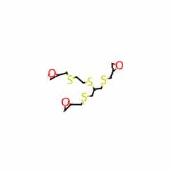 C(CSC(CSCC1CO1)CSCC1CO1)SCC1CO1